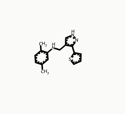 Cc1ccc(C)c(NCc2c[nH]nc2-c2cccs2)c1